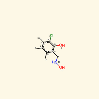 Cc1c(C)c(Cl)c(O)c(CNO)c1C